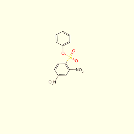 O=[N+]([O-])c1ccc(S(=O)(=O)Oc2ccccc2)c([N+](=O)[O-])c1